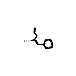 C=CCC([C]=O)=Cc1ccccc1